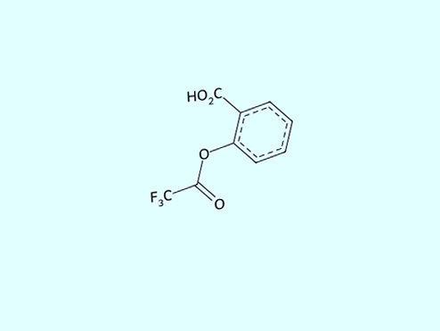 O=C(O)c1ccccc1OC(=O)C(F)(F)F